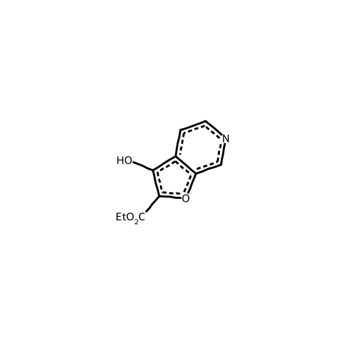 CCOC(=O)c1oc2cnccc2c1O